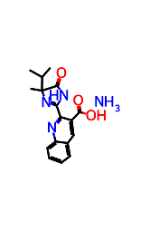 CC(C)C1(C)N=C(c2nc3ccccc3cc2C(=O)O)NC1=O.N